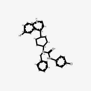 O=C(Nc1ccc(Cl)cc1)N(Cc1ccccc1)C1CCC(c2ccnc3ccc(F)cc23)CC1